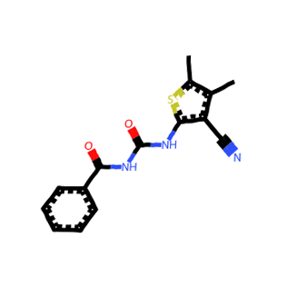 Cc1sc(NC(=O)NC(=O)c2ccccc2)c(C#N)c1C